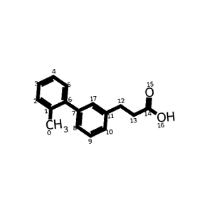 Cc1ccccc1-c1cccc(CCC(=O)O)c1